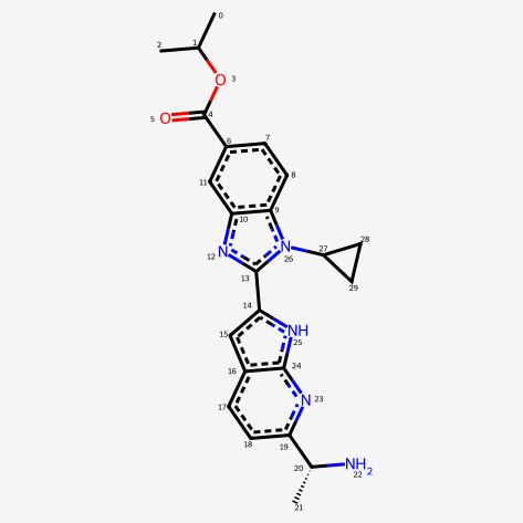 CC(C)OC(=O)c1ccc2c(c1)nc(-c1cc3ccc([C@@H](C)N)nc3[nH]1)n2C1CC1